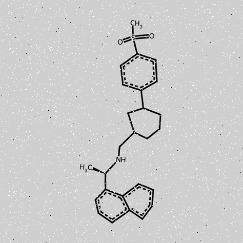 C[C@@H](NCC1CCCC(c2ccc(S(C)(=O)=O)cc2)C1)c1cccc2ccccc12